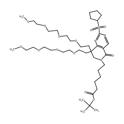 COCCOCCOCCOCCC1(CCOCCOCCOCCOC)CN(CCCCCC(=O)OC(C)(C)C)C(=O)c2cnc(S(=O)(=O)C3CCCC3)nc21